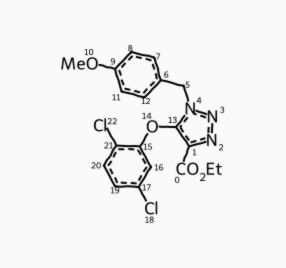 CCOC(=O)c1nnn(Cc2ccc(OC)cc2)c1Oc1cc(Cl)ccc1Cl